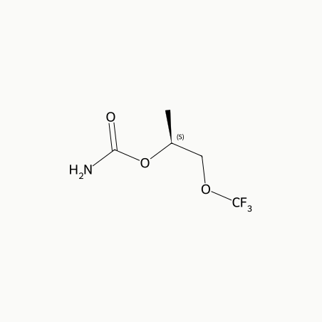 C[C@@H](COC(F)(F)F)OC(N)=O